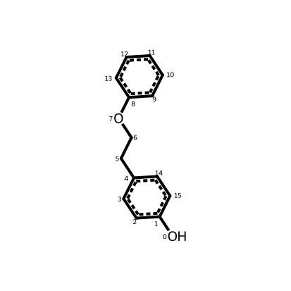 Oc1ccc(CCOc2ccccc2)cc1